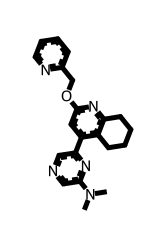 CN(C)c1cncc(-c2cc(OCc3ccccn3)nc3c2CCCC3)n1